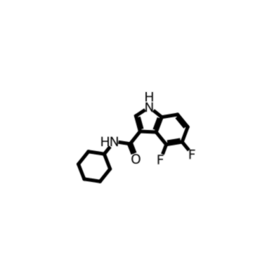 O=C(NC1CCCCC1)c1c[nH]c2ccc(F)c(F)c12